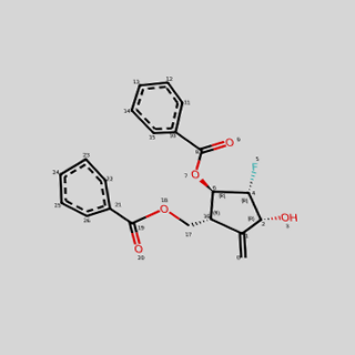 C=C1[C@@H](O)[C@@H](F)[C@H](OC(=O)c2ccccc2)[C@H]1COC(=O)c1ccccc1